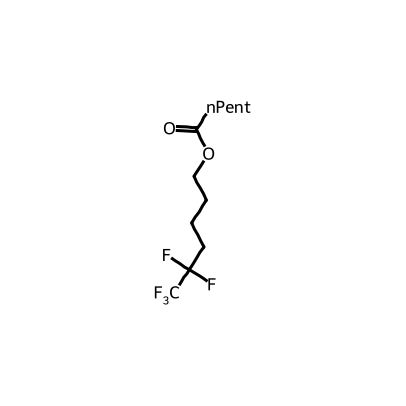 CCCCCC(=O)OCCCCC(F)(F)C(F)(F)F